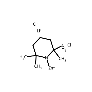 CC1(C)CCCC(C)(C)[N]1[Zn+].[Cl-].[Cl-].[Li+]